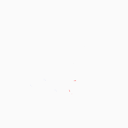 Cc1ncnc2c1ccn2[C@@H]1O[C@H](C(O)c2ccc(F)c(C(F)(F)F)c2)[C@@H](O)[C@H]1O